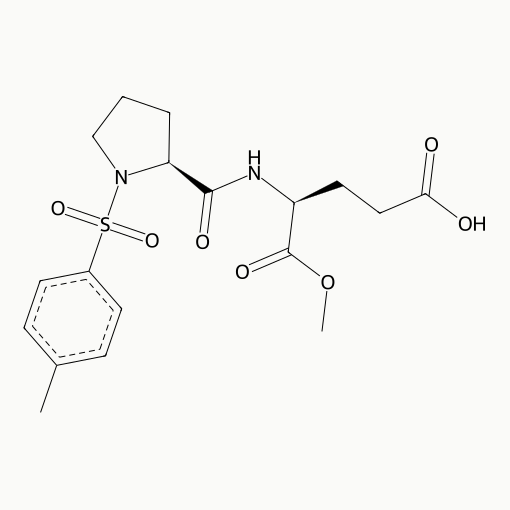 COC(=O)[C@H](CCC(=O)O)NC(=O)[C@@H]1CCCN1S(=O)(=O)c1ccc(C)cc1